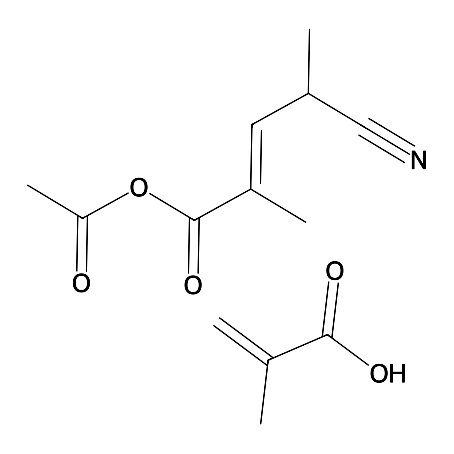 C=C(C)C(=O)O.CC(=O)OC(=O)C(C)=CC(C)C#N